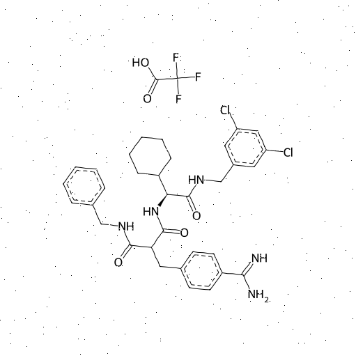 N=C(N)c1ccc(CC(C(=O)NCc2ccccc2)C(=O)N[C@H](C(=O)NCc2cc(Cl)cc(Cl)c2)C2CCCCC2)cc1.O=C(O)C(F)(F)F